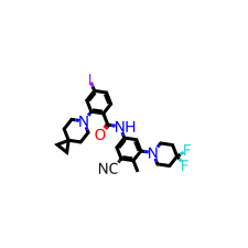 Cc1c(C#N)cc(NC(=O)c2ccc(I)cc2N2CCC3(CC2)CC3)cc1N1CCC(F)(F)CC1